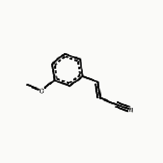 COc1cccc(/C=C/C#N)c1